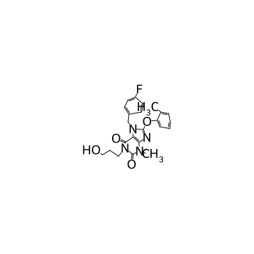 Cc1ccccc1Oc1nc2c(c(=O)n(CCCO)c(=O)n2C)n1Cc1ccc(F)cc1